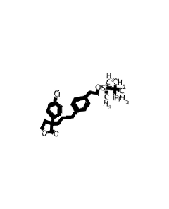 CC(C)C(C)(C)[Si](C)(C)OCCc1ccc(CCCC2(c3ccc(Cl)cc3)CCOC2=O)cc1